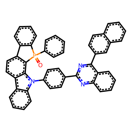 O=P1(c2ccccc2)c2ccccc2-c2ccc3c4ccccc4n(-c4ccc(-c5nc(-c6ccc7ccccc7c6)c6ccccc6n5)cc4)c3c21